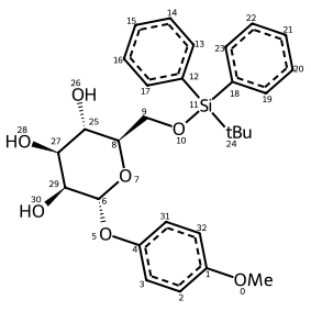 COc1ccc(O[C@H]2O[C@H](CO[Si](c3ccccc3)(c3ccccc3)C(C)(C)C)[C@@H](O)[C@H](O)[C@@H]2O)cc1